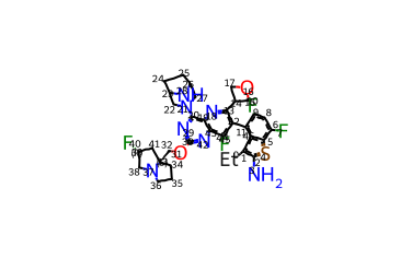 CCc1c(N)sc2c(F)cc(F)c(-c3c(C4COC4)nc4c(N5CC6CCC(C5)N6)nc(OC[C@@]56CCCN5C[C@H](F)C6)nc4c3F)c12